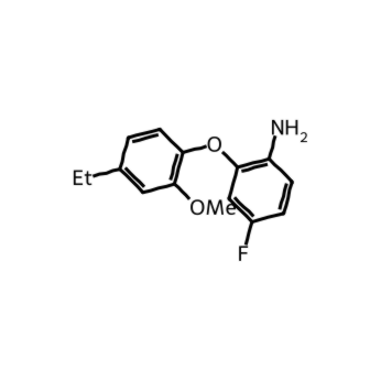 CCc1ccc(Oc2cc(F)ccc2N)c(OC)c1